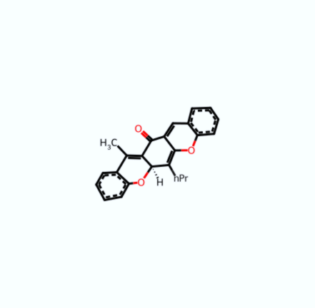 CCCC1=C2Oc3ccccc3C=C2C(=O)C2=C(C)c3ccccc3O[C@H]12